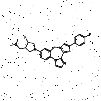 CN(C)CC1CN(c2ccc3c(c2)Cn2cc(-c4ccc(F)cc4)cc2-c2nccn2-3)CC1F